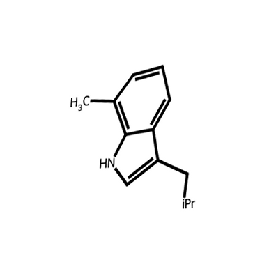 Cc1cccc2c(CC(C)C)c[nH]c12